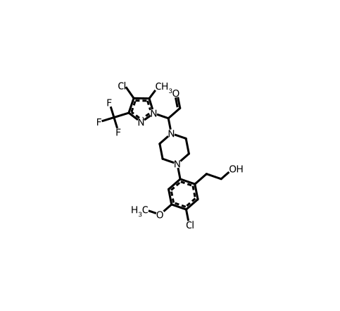 COc1cc(N2CCN(C(C=O)n3nc(C(F)(F)F)c(Cl)c3C)CC2)c(CCO)cc1Cl